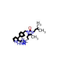 CCCc1c(C)n(CCC(C)C)c(=O)n1Cc1ccc(-c2cccnc2-c2nnn[nH]2)cc1